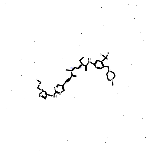 C=C(C#Cc1cnc(Nc2cnn(CCF)c2)nc1)/C(C)=C\C=C(/CC)C(=C)Nc1ccc(CN2CCN(C)CC2)c(C(F)(F)F)c1